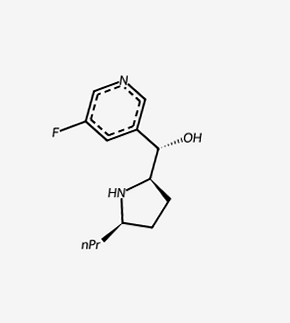 CCC[C@@H]1CC[C@H]([C@@H](O)c2cncc(F)c2)N1